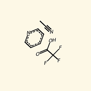 CC#N.O=C(O)C(F)(F)F.c1ccncc1